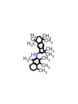 Cc1c(C)c2c(c(C)c1NC1=CC(C)(C)c3cc4c(cc31)C(C)(C)CCC4(C)C)CCCC2C